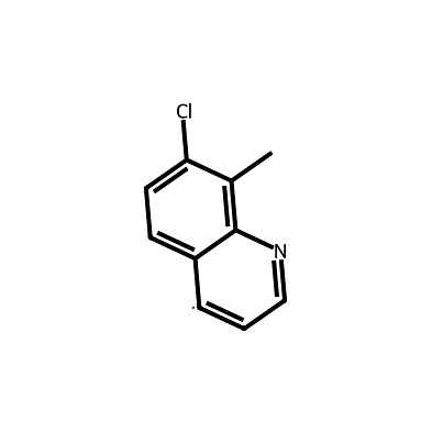 Cc1c(Cl)ccc2[c]ccnc12